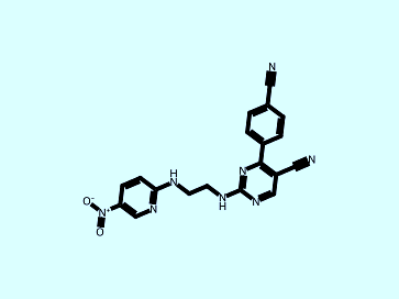 N#Cc1ccc(-c2nc(NCCNc3ccc([N+](=O)[O-])cn3)ncc2C#N)cc1